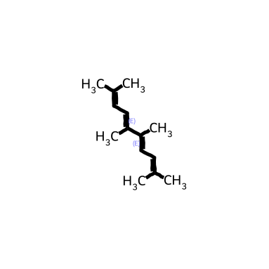 CC(C)=C/C=C(C)/C(C)=C/C=C(C)C